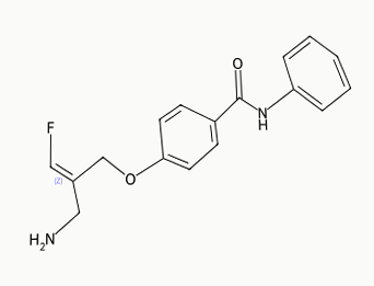 NC/C(=C/F)COc1ccc(C(=O)Nc2ccccc2)cc1